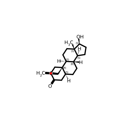 C=C=C[C@]12CCC(=O)C[C@@H]1CC[C@H]1[C@@H]3CC[C@H](O)[C@@]3(C)CC[C@@H]12